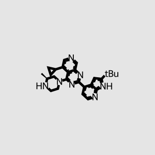 C[C@H]1CN(c2nc(-c3ccnc4[nH]c(C(C)(C)C)cc34)nc3cncc(C4CC4)c23)CCN1